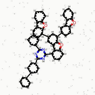 c1ccc(-c2ccc(-c3nc(-c4ccccc4)nc(-c4cccc5oc6c(-c7ccc8oc9ccccc9c8c7)cc(-c7cccc8c7oc7ccccc78)cc6c45)n3)cc2)cc1